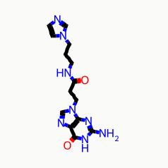 Nc1nc2c(ncn2CCC(=O)NCCCn2ccnc2)c(=O)[nH]1